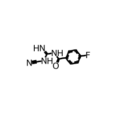 N#CNC(=N)NC(=O)c1ccc(F)cc1